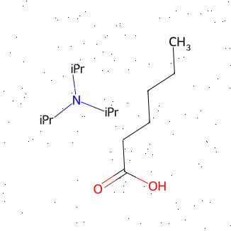 CC(C)N(C(C)C)C(C)C.CCCCCC(=O)O